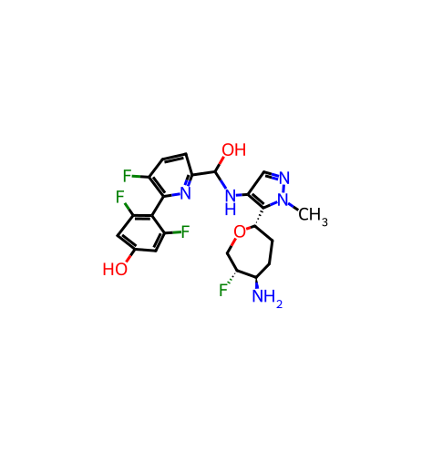 Cn1ncc(NC(O)c2ccc(F)c(-c3c(F)cc(O)cc3F)n2)c1[C@@H]1CC[C@@H](N)[C@H](F)CO1